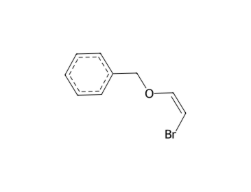 Br/C=C\OCc1ccccc1